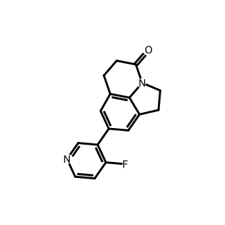 O=C1CCc2cc(-c3cnccc3F)cc3c2N1CC3